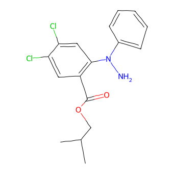 CC(C)COC(=O)c1cc(Cl)c(Cl)cc1N(N)c1ccccc1